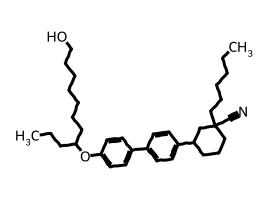 CCCCCCC1(C#N)CCCC(c2ccc(-c3ccc(OC(CCC)CCCCCCCO)cc3)cc2)C1